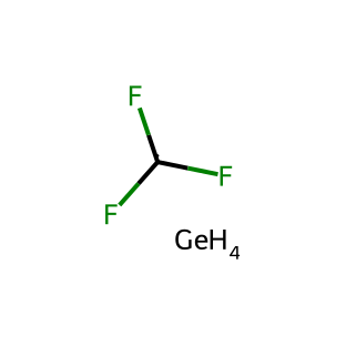 F[C](F)F.[GeH4]